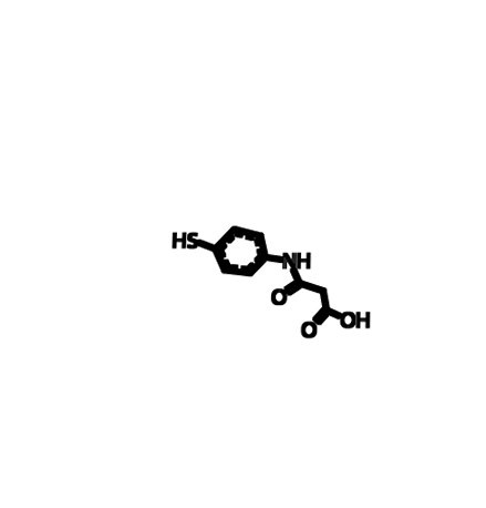 O=C(O)CC(=O)Nc1ccc(S)cc1